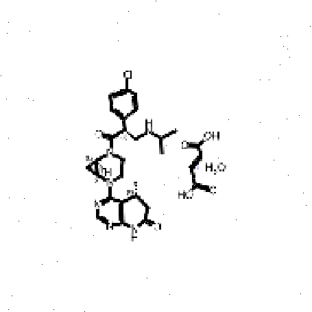 CC(C)NC[C@@H](C(=O)N1CCN(c2ncnc3c2[C@H](C)CC(=O)N3)[C@H]2C[C@H]21)c1ccc(Cl)cc1.O.O=C(O)/C=C/C(=O)O